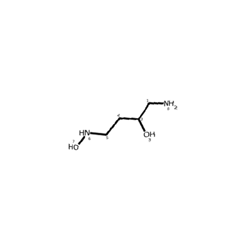 NCC(O)CCNO